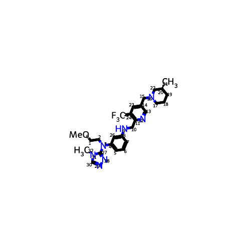 COCCN(c1cccc(NCc2ncc(CN3CCC[C@H](C)C3)cc2C(F)(F)F)c1)c1nncn1C